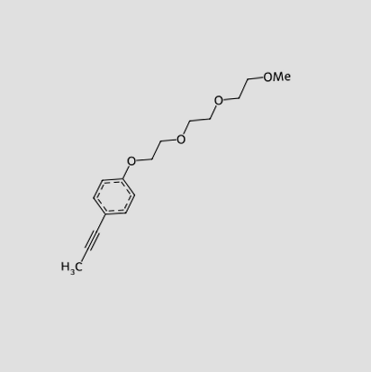 CC#Cc1ccc(OCCOCCOCCOC)cc1